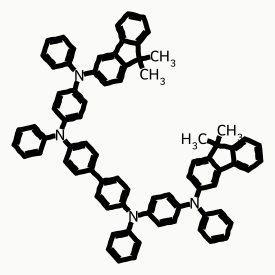 CC1(C)c2ccccc2-c2cc(N(c3ccccc3)c3ccc(N(c4ccccc4)c4ccc(-c5ccc(N(c6ccccc6)c6ccc(N(c7ccccc7)c7ccc8c(c7)-c7ccccc7C8(C)C)cc6)cc5)cc4)cc3)ccc21